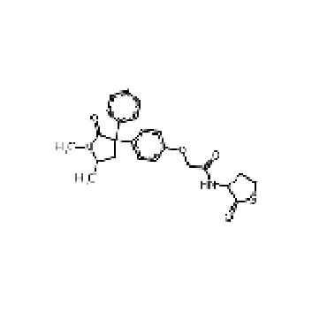 CC1CC(c2ccccc2)(c2ccc(OCC(=O)NC3CCSC3=O)cc2)C(=O)N1C